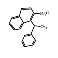 CC(c1ccccc1)c1c(S(=O)(=O)O)ccc2ccccc12